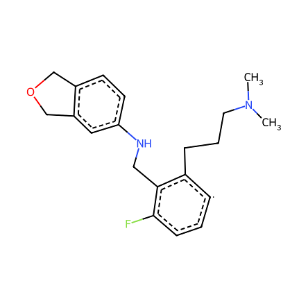 CN(C)CCCc1[c]ccc(F)c1CNc1ccc2c(c1)COC2